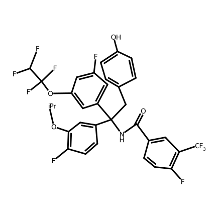 CC(C)Oc1cc(C(Cc2ccc(O)cc2)(NC(=O)c2ccc(F)c(C(F)(F)F)c2)c2cc(F)cc(OC(F)(F)C(F)F)c2)ccc1F